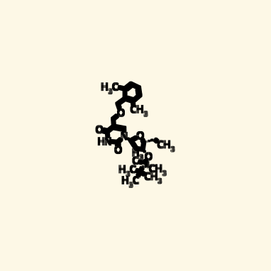 CC[C@H]1O[C@@H](n2cc(COCc3c(C)cccc3C)c(=O)[nH]c2=O)C[C@H]1O[Si](C)(C)C(C)(C)C